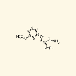 COc1cccc(OC/C(=C/F)CN)c1